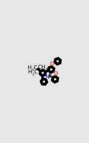 CC(C)(C)c1cc2c3c(c1)c1ccccc1n3B1c3ccccc3Oc3cc(Oc4ccccc4)cc-2c31